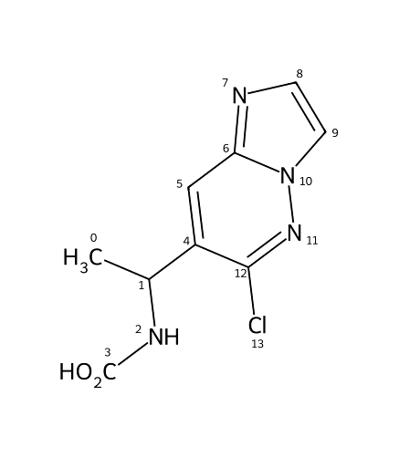 CC(NC(=O)O)c1cc2nccn2nc1Cl